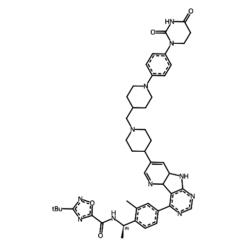 Cc1cc(-c2ncnc3c2C2N=CC(C4CCN(CC5CCN(c6ccc(N7CCC(=O)NC7=O)cc6)CC5)CC4)=CC2N3)ccc1[C@@H](C)NC(=O)c1nc(C(C)(C)C)no1